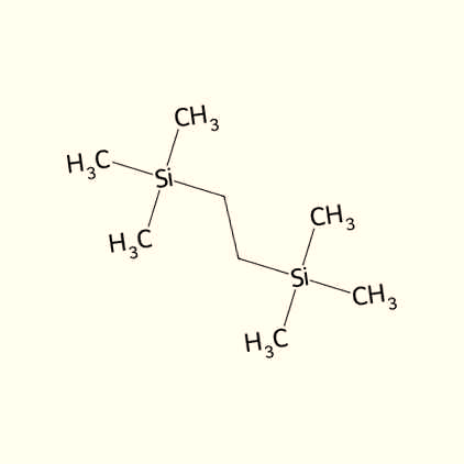 C[Si](C)(C)CC[Si](C)(C)C